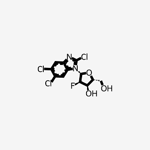 OC[C@H]1O[C@@H](n2c(Cl)nc3cc(Cl)c(Cl)cc32)[C@H](F)[C@@H]1O